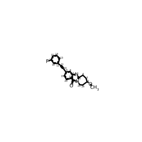 COC1CCc2nc3cc(C#Cc4cccc(F)c4)ccc3c(=O)n2CC1